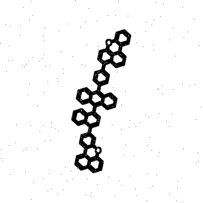 c1ccc2c(c1)Oc1ccc(-c3ccc(-c4c5ccccc5c(-c5ccc(-c6ccc7c(c6)Oc6cccc8cccc-7c68)c6ccccc56)c5ccccc45)cc3)c3cccc-2c13